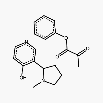 CC(=O)C(=O)Oc1ccccc1.CN1CCCC1c1cnccc1O